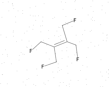 FCC(CF)=C(CF)CF